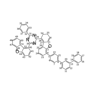 C1=c2oc3c(-c4ccc(-c5cccc(-c6ccccc6)c5)cc4)cccc3c2=C(c2nc(-c3ccccc3)nc(-c3cccc4oc5ccccc5c34)n2)CC1